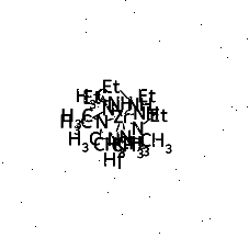 CC[NH][Zr]([NH]CC)([NH]CC)([NH]CC)([N](C)C)([N](C)C)([N](C)C)[N](C)C.[Hf]